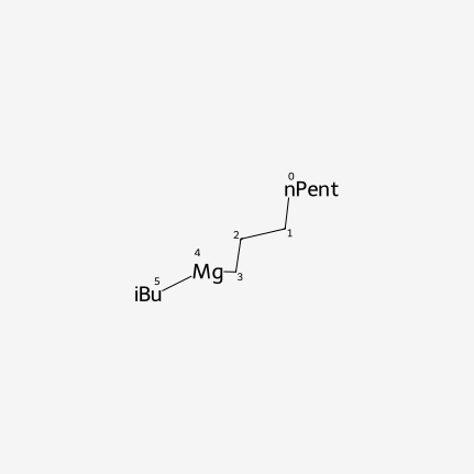 CCCCCCC[CH2][Mg][CH](C)CC